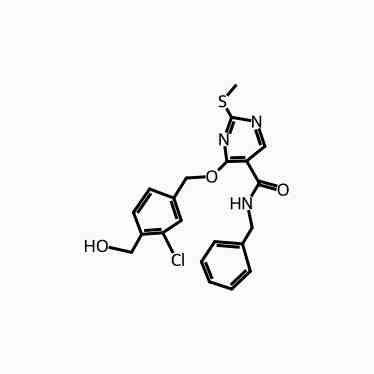 CSc1ncc(C(=O)NCc2ccccc2)c(OCc2ccc(CO)c(Cl)c2)n1